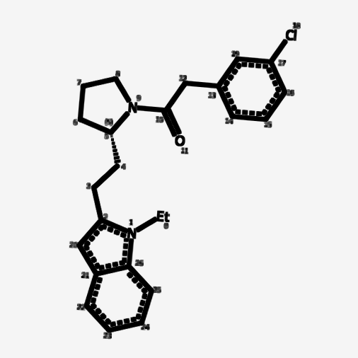 CCn1c(CC[C@@H]2CCCN2C(=O)Cc2cccc(Cl)c2)cc2ccccc21